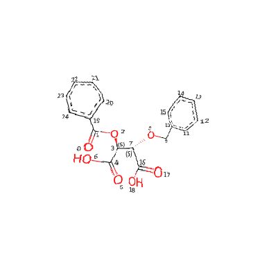 O=C(O[C@H](C(=O)O)[C@H](OCc1ccccc1)C(=O)O)c1ccccc1